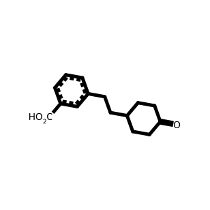 O=C1CCC(CCc2cccc(C(=O)O)c2)CC1